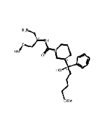 COCCCC[C@@](O)(c1ccccc1)[C@@H]1CCCN(C(=O)N[C@H](CN)COC(C)(C)C)C1